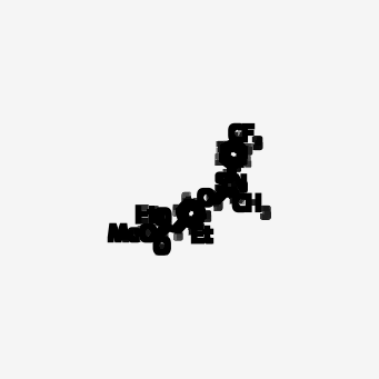 CCO[C@@H](Cc1ccc(OCc2sc(-c3ccc(C(F)(F)F)cc3)nc2C)cc1CC)C(=O)OC